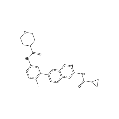 O=C(Nc1ccc(F)c(-c2ccc3cc(NC(=O)C4CC4)ncc3c2)c1)C1CCOCC1